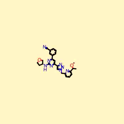 COC(C)c1cccc(Cn2cc(-c3cc(-c4cccc(C#N)c4)nc(N[C@@H]4CCOC4)n3)nn2)n1